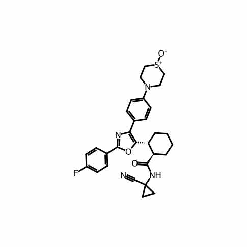 N#CC1(NC(=O)[C@@H]2CCCC[C@H]2c2oc(-c3ccc(F)cc3)nc2-c2ccc(N3CC[S+]([O-])CC3)cc2)CC1